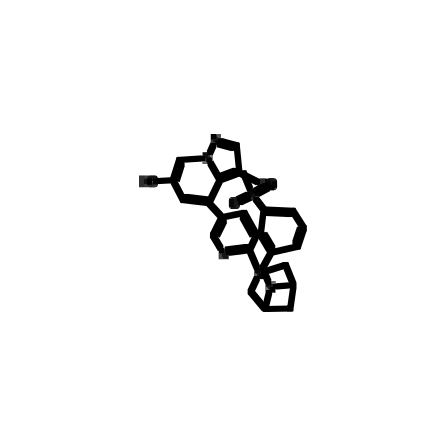 CS(=O)(=O)c1cccc(CN2C3CC2CN(c2ccc(-c4cc(O)cn5ncc(C#N)c45)cn2)C3)c1